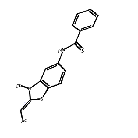 CCN1/C(=C/C(C)=O)Sc2ccc(NC(=S)c3ccccc3)cc21